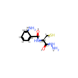 NNC(=O)[C@H](CS)NC(=O)c1ccccc1N